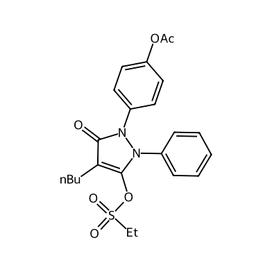 CCCCc1c(OS(=O)(=O)CC)n(-c2ccccc2)n(-c2ccc(OC(C)=O)cc2)c1=O